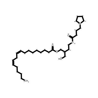 CCCCC/C=C\C/C=C\CCCCCCCC(=O)OCC(CO)CCOC(=O)CCCN1CCCC1